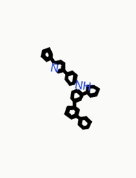 C1=CC(C2=C(NC3=CC=C(c4ccc(-c5ccccc5)nc4)CC3)CCC(c3cccc(C4=CCCC=C4)c3)=C2)=CCC1